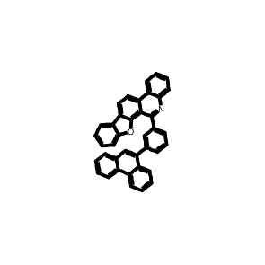 c1cc(-c2cc3ccccc3c3ccccc23)cc(-c2nc3ccccc3c3ccc4c5ccccc5oc4c23)c1